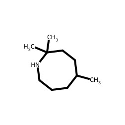 CC1CCCNC(C)(C)CC1